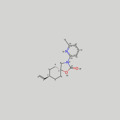 C=C[C@H]1CC[C@]2(CC1)CN(c1cccc(C)n1)C(=O)O2